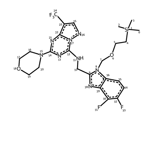 C[Si](C)(C)CCOCn1c(CNc2nc(N3CCOCC3)nc3c(C(F)(F)F)cnn23)nc2c(F)c(F)ccc21